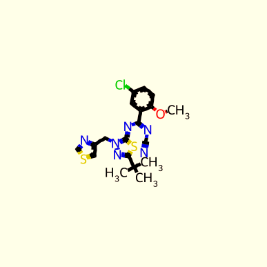 COc1ccc(Cl)cc1C(=NC#N)N=c1sc(C(C)(C)C)nn1Cc1cscn1